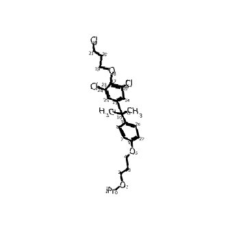 CC(C)OCCCOc1ccc(C(C)(C)c2cc(Cl)c(OCCCCl)c(Cl)c2)cc1